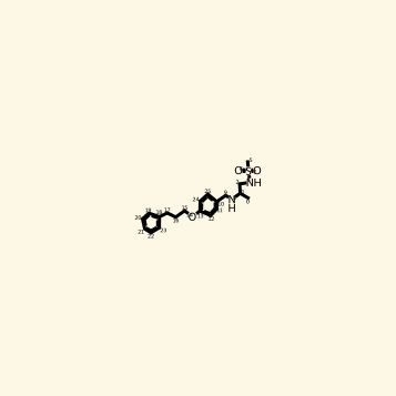 CC(CNS(C)(=O)=O)NCc1ccc(OCCCc2ccccc2)cc1